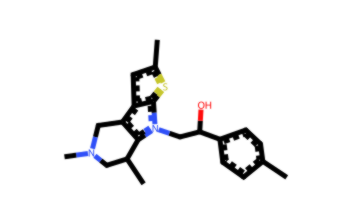 Cc1ccc(C(O)Cn2c3c(c4cc(C)sc42)CN(C)CC3C)cc1